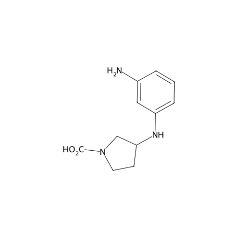 Nc1cccc(NC2CCN(C(=O)O)C2)c1